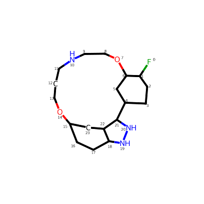 FC1CCC2CC1OCCNCCCOC1CCC3NNC2C3C1